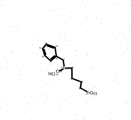 CCCCCCCCCCCCN(Cl)Cc1ccccc1.Cl